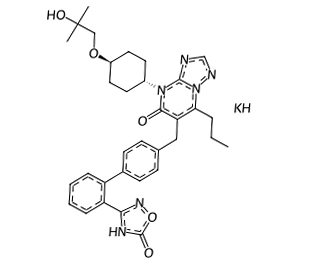 CCCc1c(Cc2ccc(-c3ccccc3-c3noc(=O)[nH]3)cc2)c(=O)n([C@H]2CC[C@H](OCC(C)(C)O)CC2)c2ncnn12.[KH]